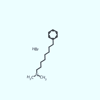 Br.CN(C)CCCCCCCCc1ccccc1